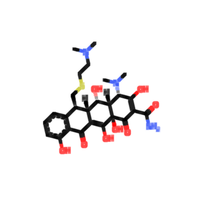 CN(C)CCSC[C@@H]1c2cccc(O)c2C(=O)C2=C(O)[C@@]3(O)C(=O)C(C(N)=O)=C(O)[C@@H](N(C)C)[C@H]3[C@@H](O)[C@H]21